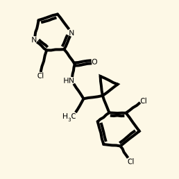 CC(NC(=O)c1nccnc1Cl)C1(c2ccc(Cl)cc2Cl)CC1